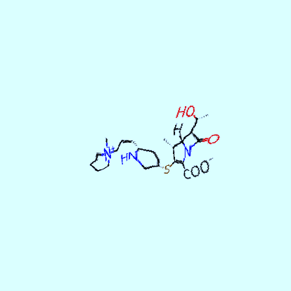 C[C@@H](O)[C@H]1C(=O)N2C(C(=O)[O-])=C(S[C@@H]3CN[C@H](/C=C\C[N+]4(C)CCCC4)C3)[C@H](C)[C@H]12